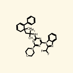 CC(C)(CC1(C)CC=CC=C1c1ccccc1)Nc1nc(N2CCOCC2)nc(-n2c(C(F)F)nc3ccccc32)n1